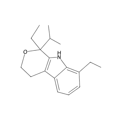 CCc1cccc2c3c([nH]c12)C(CC)(C(C)C)OCC3